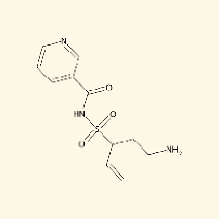 C=CC(CCN)S(=O)(=O)NC(=O)c1cccnc1